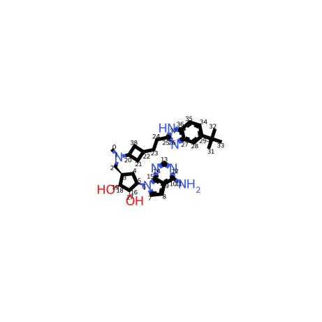 CN(C[C@H]1C[C@@H](n2ccc3c(N)ncnc32)[C@H](O)[C@@H]1O)C1CC(CCc2nc3cc(C(C)(C)C)ccc3[nH]2)C1